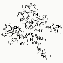 CCOC(=O)C[C@H](NC(=O)C(CC(C)C)n1cc(CCN2CC(C)(C)C2)c(C(F)(F)F)cc1=O)c1cc(-c2c(C)cccc2C)cc(C)c1F.Cc1cc(-c2c(C)cccc2C)cc([C@H](CC(=O)O)NC(=O)C(CC(C)C)n2cc(CCN3CC(C)(C)C3)c(C(F)(F)F)cc2=O)c1F